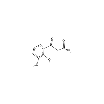 COc1cccc(C(=O)CC(N)=O)c1OC